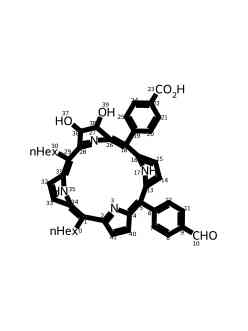 CCCCCCc1c2nc(c(-c3ccc(C=O)cc3)c3ccc([nH]3)c(-c3ccc(C(=O)O)cc3)c3nc(c(CCCCCC)c4ccc1[nH]4)C(O)C3O)C=C2